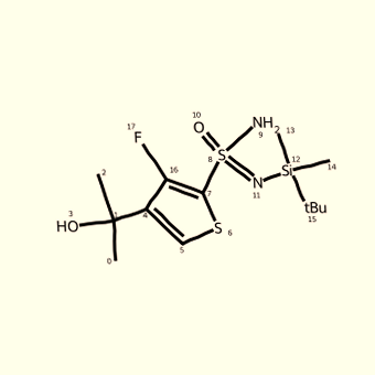 CC(C)(O)c1csc(S(N)(=O)=N[Si](C)(C)C(C)(C)C)c1F